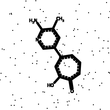 Cc1cc(-c2cccc(=O)c(O)c2)cnc1N